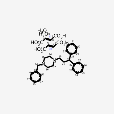 O.O.O=C(O)/C=C/C(=O)O.O=C(O)/C=C/C(=O)O.c1ccc(CN2CCN(CCC(c3ccccc3)c3ccccc3)CC2)cc1